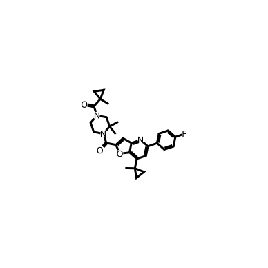 CC1(C(=O)N2CCN(C(=O)c3cc4nc(-c5ccc(F)cc5)cc(C5(C)CC5)c4o3)C(C)(C)C2)CC1